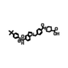 CC(C)(C)c1ccc(S(=O)(=O)Nc2ccc3c(ccn3Cc3ccc(C(=O)N4CCC(C(=O)O)CC4)cc3)c2)cc1